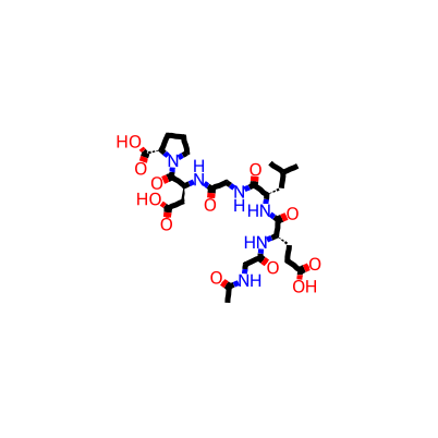 CC(=O)NCC(=O)N[C@@H](CCC(=O)O)C(=O)N[C@@H](CC(C)C)C(=O)NCC(=O)N[C@@H](CC(=O)O)C(=O)N1CCC[C@H]1C(=O)O